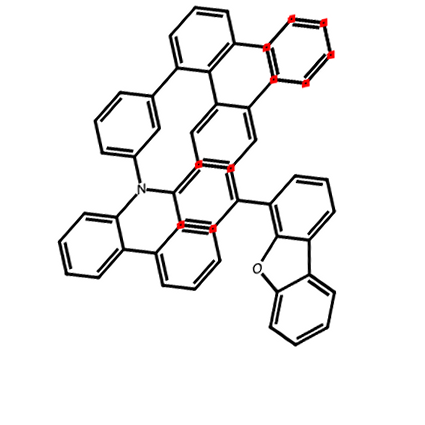 c1ccc(-c2ccccc2-c2c(-c3ccccc3)cccc2-c2cccc(N(c3ccc(-c4cccc5c4oc4ccccc45)cc3)c3ccccc3-c3ccccc3)c2)cc1